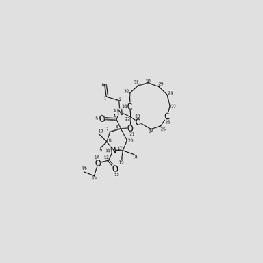 C=CCN1C(=O)C2(CC(C)(C)N(C(=O)OCC)C(C)(C)C2)OC12CCCCCCCCCCC2